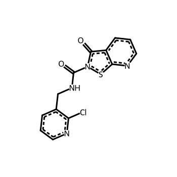 O=C(NCc1cccnc1Cl)n1sc2ncccc2c1=O